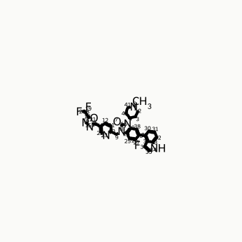 CN1CCC(n2c(=O)n(Cc3ccc(-c4nnc(C(F)F)o4)cn3)c3cc(F)c(-c4cccc5[nH]ccc45)cc32)CC1